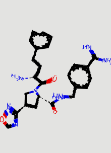 N=C(N)c1ccc(CNC(=O)[C@@H]2C[C@@H](c3ncon3)CN2C(=O)[C@H](N)CCc2ccccc2)cc1